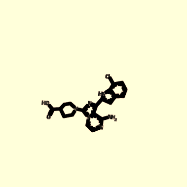 Nc1nccn2c(N3CCC(C(=O)O)CC3)nc(-c3cc4cccc(Cl)c4[nH]3)c12